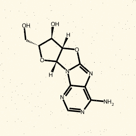 Nc1ncnc2c1nc1n2[C@@H]2O[C@H](CO)[C@@H](O)[C@@H]2O1